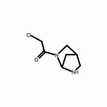 O=C(CCl)N1CC2CNC1C2